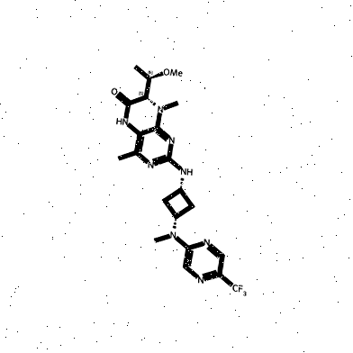 CO[C@H](C)[C@H]1C(=O)Nc2c(C)nc(N[C@H]3C[C@@H](N(C)c4cnc(C(F)(F)F)cn4)C3)nc2N1C